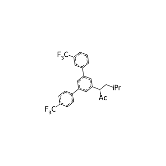 CC(=O)C(CC(C)C)c1cc(-c2ccc(C(F)(F)F)cc2)cc(-c2cccc(C(F)(F)F)c2)c1